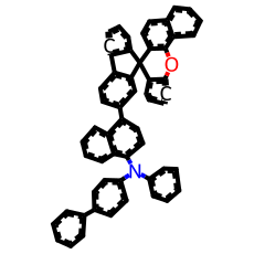 c1ccc(-c2ccc(N(c3ccccc3)c3ccc(-c4ccc5c(c4)C4(c6ccccc6Oc6c4ccc4ccccc64)c4ccccc4-5)c4ccccc34)cc2)cc1